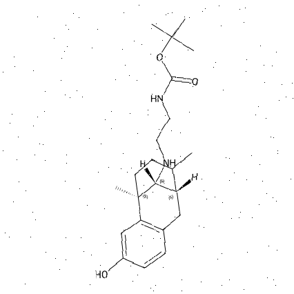 CC1CC[C@]2(C)c3cc(O)ccc3C[C@@H]1[C@H]2NCCNC(=O)OC(C)(C)C